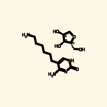 NCCCCCCc1c[nH]c(=O)nc1N.OC[C@H]1OC[C@H](O)[C@@H]1O